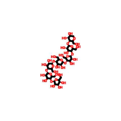 OCC1O[C@H](O[C@@H]2C(CO)O[C@H](O[C@@H]3C(CO)OCC(O)[C@H]3O)[C@@H](O)C2O)[C@@H](O)C(O)[C@@H]1O[C@@H]1OC(CO)[C@@H](O[C@@H]2OC(CO)[C@@H](O[C@@H]3OC(CO)[C@@H](O[C@H]4OC(CO)[C@@H](O)[C@H](O)C4O)C(O)[C@@H]3O)C(O)[C@@H]2O)C(O)[C@@H]1O